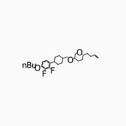 C=CCCC1CCC(OCC2CCC(c3ccc(OCCCC)c(F)c3F)CC2)CO1